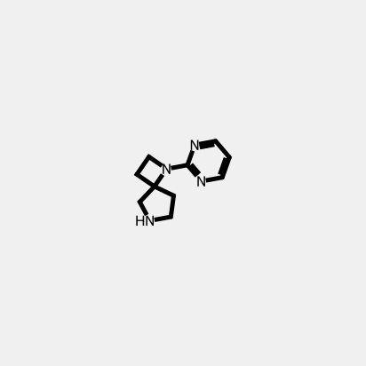 c1cnc(N2CCC23CCNC3)nc1